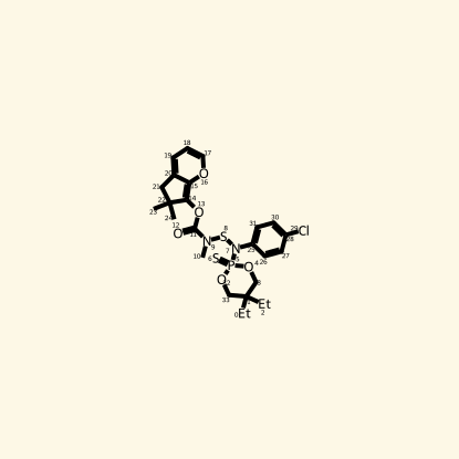 CCC1(CC)COP(=S)(N(SN(C)C(=O)OC2=C3OC=CC=C3CC2(C)C)c2ccc(Cl)cc2)OC1